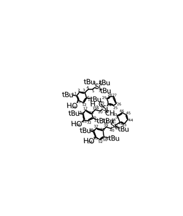 CC(C)(C)c1cc(CC[Si](C(C)(C)C)(C(C)(C)C)C(C)(C)C)c(C(C)(C)C)cc1O.CC(C)(C)c1cc(CC[Si](C)(C)c2ccccc2)c(C(C)(C)C)cc1O.CC(C)(C)c1cc(CC[Si](c2ccccc2)(C(C)(C)C)C(C)(C)C)c(C(C)(C)C)cc1O